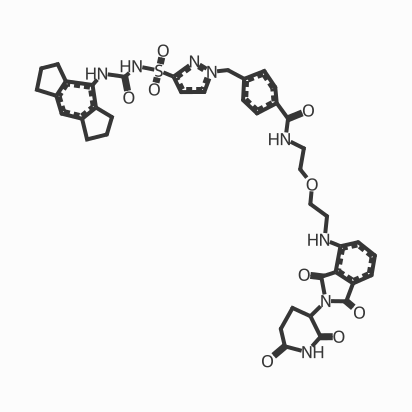 O=C1CCC(N2C(=O)c3cccc(NCCOCCNC(=O)c4ccc(Cn5ccc(S(=O)(=O)NC(=O)Nc6c7c(cc8c6CCC8)CCC7)n5)cc4)c3C2=O)C(=O)N1